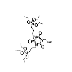 C=CCn1c(=O)n(CCC[Si](OCC)(OCC)OCC)c(=O)n(CCC[Si](OCC)(OCC)OCC)c1=O